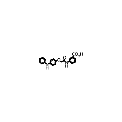 O=C(COc1ccc(Nc2ccccc2)cc1)Nc1cccc(C(=O)O)c1